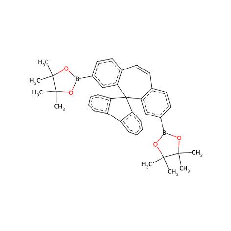 CC1(C)OB(c2ccc3c(c2)C2(c4cc(B5OC(C)(C)C(C)(C)O5)ccc4C=C3)c3ccccc3-c3ccccc32)OC1(C)C